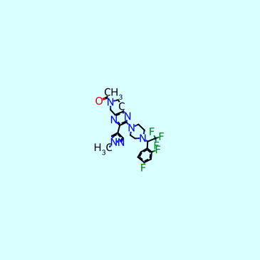 CC(=O)N1CCc2nc(N3CCN(C(c4ccc(F)cc4F)C(F)(F)F)CC3)c(-c3cnn(C)c3)nc2C1